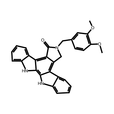 COc1ccc(CN2Cc3c(c4c5ccccc5[nH]c4c4[nH]c5ccccc5c34)C2=O)cc1OC